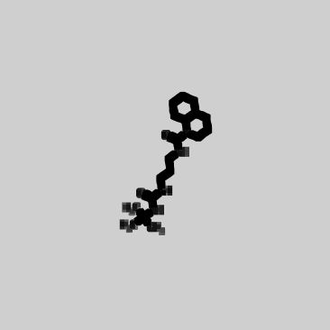 CC(C)(C)NC(=O)NCCCNC(=O)N1CCCC2CCCCC21